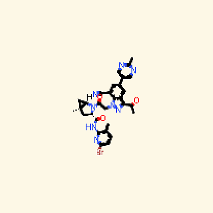 CC(=O)c1nn(CC(=O)N2[C@H](C(=O)Nc3nc(Br)ccc3C)C[C@@]3(C)C[C@@H]23)c2c(C#N)cc(-c3cnc(C)nc3)cc12